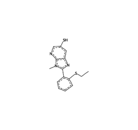 CCSc1ccccc1-c1nc2cc(S)cnc2n1C